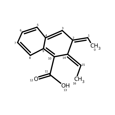 CC=c1cc2ccccc2c(C(=O)O)c1=CC